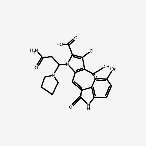 CC(=O)c1c(C)c(C(=O)O)n(C(CC(N)=O)N2CCCC2)c1C=C1C(=O)Nc2ccc(Br)cc21